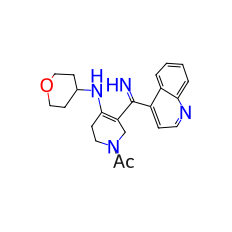 CC(=O)N1CCC(NC2CCOCC2)=C(C(=N)c2ccnc3ccccc23)C1